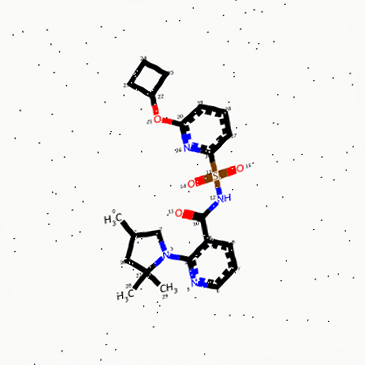 CC1CN(c2ncccc2C(=O)NS(=O)(=O)c2cccc(OC3CCC3)n2)C(C)(C)C1